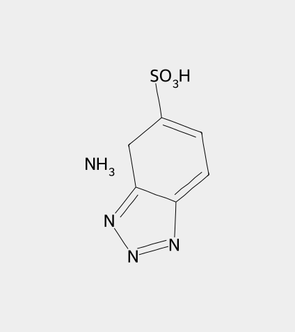 N.O=S(=O)(O)C1=CC=C2N=NN=C2C1